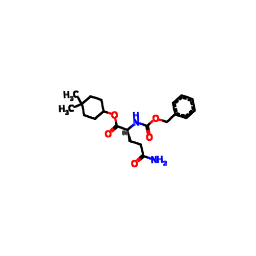 CC1(C)CCC(OC(=O)[C@H](CCC(N)=O)NC(=O)OCc2ccccc2)CC1